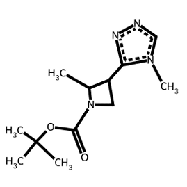 CC1C(c2nncn2C)CN1C(=O)OC(C)(C)C